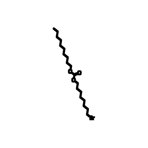 CCCCCCCCCCOC(=O)OCCCCCCCCBr